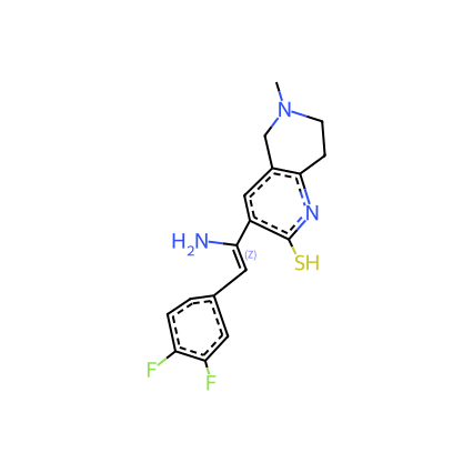 CN1CCc2nc(S)c(/C(N)=C/c3ccc(F)c(F)c3)cc2C1